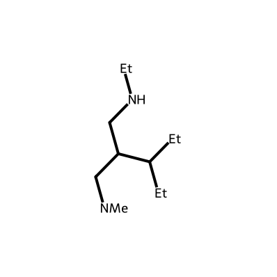 CCNCC(CNC)C(CC)CC